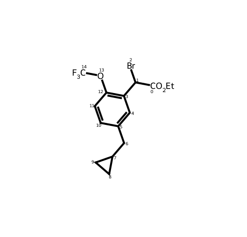 CCOC(=O)C(Br)c1cc(CC2CC2)ccc1OC(F)(F)F